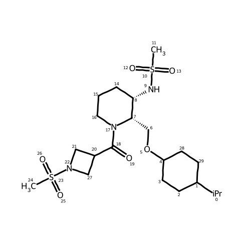 CC(C)C1CCC(OC[C@H]2[C@@H](NS(C)(=O)=O)CCCN2C(=O)C2CN(S(C)(=O)=O)C2)CC1